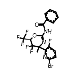 CC1(c2nc(Br)ccc2F)N=C(NC(=O)c2ccccc2)O[C@H](C(F)(F)F)C1(F)F